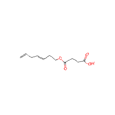 C=CC/C=C/CCOC(=O)CCC(=O)O